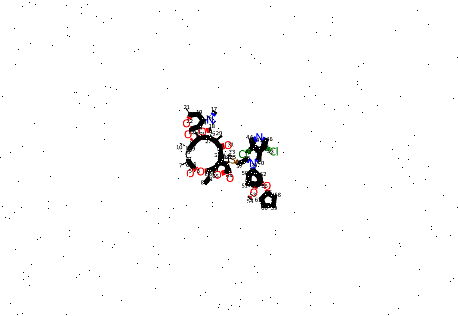 CC[C@H]1OC(=O)[C@H](C)C[C@H](C)[C@@H](O[C@H]2C[C@@H](N(C)C)C[C@@H](C)O2)[C@](C)(OC)C[C@@H](C)C(=O)[C@H](C)[C@H]2[C@H](SCCN(Cc3c(Cl)cncc3Cl)c3ccc(OC)c(OC4CCCC4)c3)C(=O)O[C@@]21C